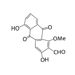 COc1c(C=O)c(O)cc2c1C(=O)c1cccc(O)c1C2=O